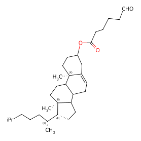 CC(C)CCC[C@@H](C)[C@H]1CCC2C3CC=C4CC(OC(=O)CCCCC=O)CC[C@]4(C)C3CC[C@@]21C